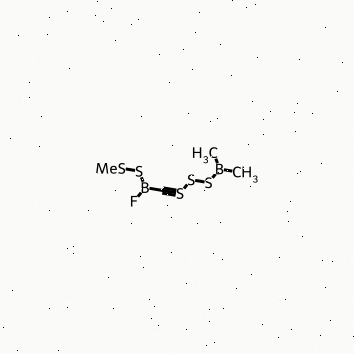 CSSB(F)C#SSSB(C)C